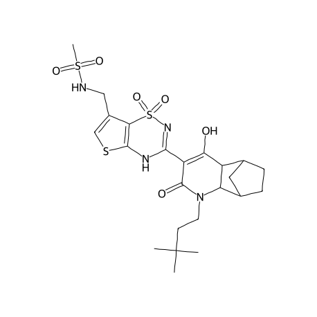 CC(C)(C)CCN1C(=O)C(C2=NS(=O)(=O)c3c(CNS(C)(=O)=O)csc3N2)=C(O)C2C3CCC(C3)C21